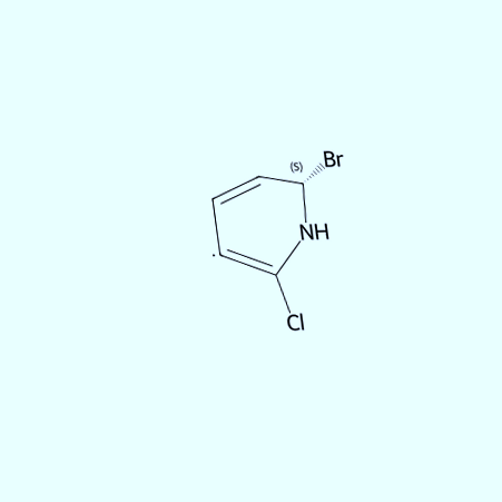 ClC1=[C]C=C[C@H](Br)N1